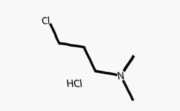 CN(C)CCCCl.Cl